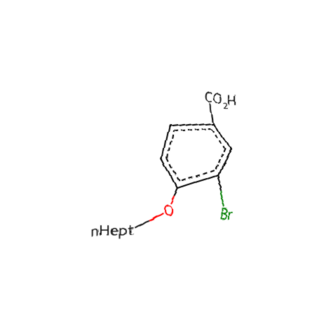 CCCCCCCOc1ccc(C(=O)O)cc1Br